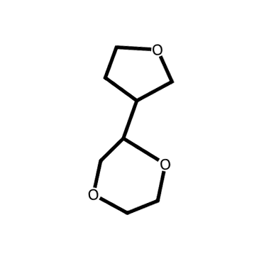 C1CC(C2COCCO2)CO1